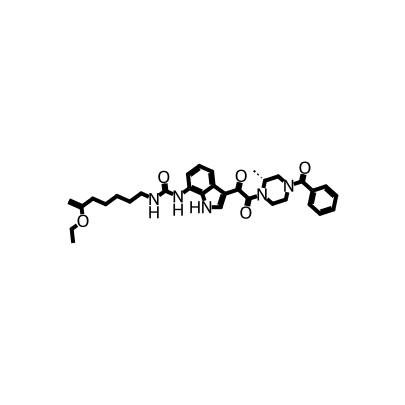 C=C(CCCCCNC(=O)Nc1cccc2c(C(=O)C(=O)N3CCN(C(=O)c4ccccc4)C[C@H]3C)c[nH]c12)OCC